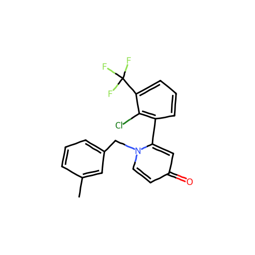 Cc1cccc(Cn2ccc(=O)cc2-c2cccc(C(F)(F)F)c2Cl)c1